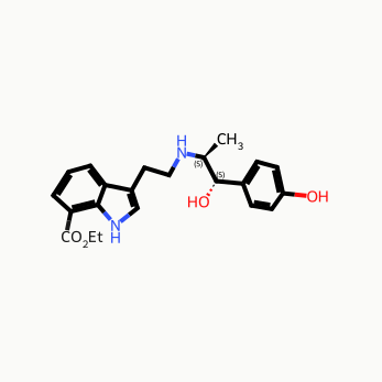 CCOC(=O)c1cccc2c(CCN[C@@H](C)[C@@H](O)c3ccc(O)cc3)c[nH]c12